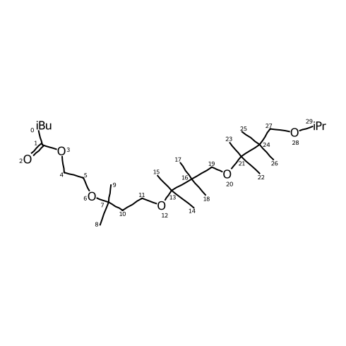 CCC(C)C(=O)OCCOC(C)(C)CCOC(C)(C)C(C)(C)COC(C)(C)C(C)(C)COC(C)C